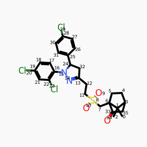 CC1(C)C2CCC1(CS(=O)(=O)CCC1=NN(c3ccc(Cl)cc3Cl)C(c3ccc(Cl)cc3)C1)C(=O)C2